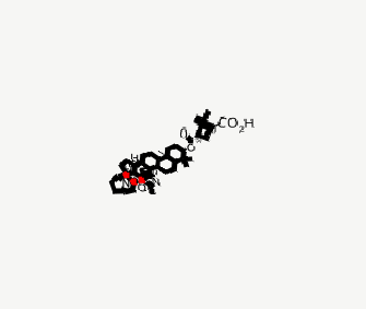 Cc1nnc(C(C)C)n1C1CC2CCC(C1)N2C(=O)[C@]12CCC[C@@H]1[C@H]1CCC3[C@@]4(C)CC[C@H](OC(=O)[C@H]5C[C@@H](C(=O)O)C5(C)C)C(C)(C)C4CC[C@@]3(C)[C@]1(C)CC2